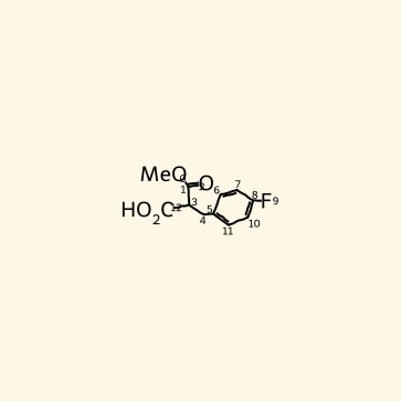 COC(=O)C(Cc1ccc(F)cc1)C(=O)O